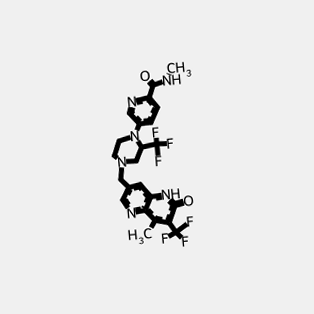 CNC(=O)c1ccc(N2CCN(Cc3cnc4c(C)c(C(F)(F)F)c(=O)[nH]c4c3)CC2C(F)(F)F)cn1